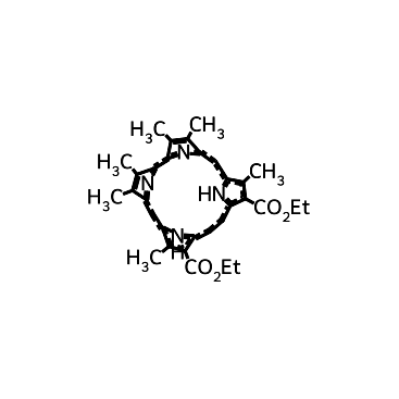 CCOC(=O)c1c(C)c2cc3nc(c4nc(cc5[nH]c(ccc1[nH]2)c(C(=O)OCC)c5C)C(C)=C4C)C(C)=C3C